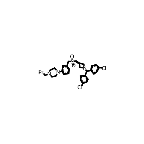 CC(C)CN1CCN(c2cccc(CS(=O)(=O)C=C3CN(C(c4ccc(Cl)cc4)c4ccc(Cl)cc4)C3)c2)CC1